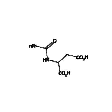 CCCC(=O)NC(CC(=O)O)C(=O)O